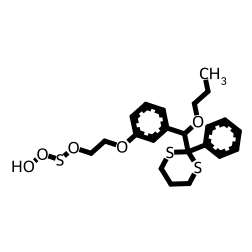 CCCOC(c1cccc(OCCOSOO)c1)C1(c2ccccc2)SCCCS1